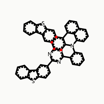 c1ccc(N2c3ccccc3-c3cccc4cccc2c34)c(-c2nc(-c3ccc4sc5ccccc5c4c3)nc(-c3ccc4sc5ccccc5c4c3)n2)c1